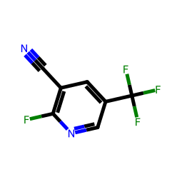 N#Cc1cc(C(F)(F)F)cnc1F